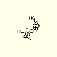 Cc1nn(CCO)c(C)c1-c1nc(N2CCN(C(=O)N[C@@H](CC=N)c3cc(F)cc(C#N)c3)CC2)ncc1F